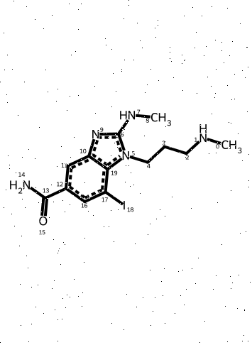 CNCCCn1c(NC)nc2cc(C(N)=O)cc(I)c21